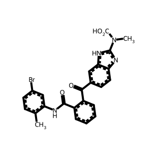 Cc1ccc(Br)cc1NC(=O)c1ccccc1C(=O)c1ccc2nc(N(C)C(=O)O)[nH]c2c1